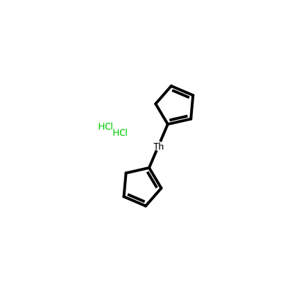 C1=CC[C]([Th][C]2=CC=CC2)=C1.Cl.Cl